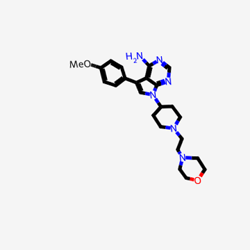 COc1ccc(-c2cn(C3CCN(CCN4CCOCC4)CC3)c3ncnc(N)c23)cc1